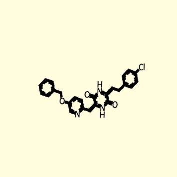 O=c1[nH]c(=Cc2ccc(OCc3ccccc3)cn2)c(=O)[nH]c1=CCc1ccc(Cl)cc1